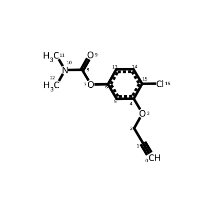 C#CCOc1cc(OC(=O)N(C)C)ccc1Cl